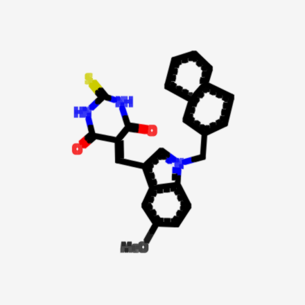 COc1ccc2c(c1)c(C=C1C(=O)NC(=S)NC1=O)cn2Cc1ccc2ccccc2c1